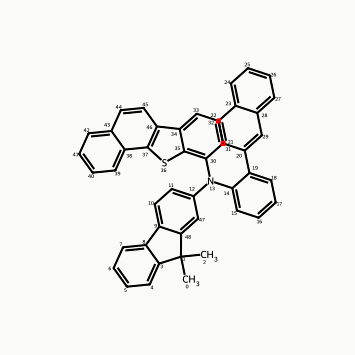 CC1(C)c2ccccc2-c2ccc(N(c3ccccc3-c3ccc4ccccc4c3)c3cccc4c3sc3c5ccccc5ccc43)cc21